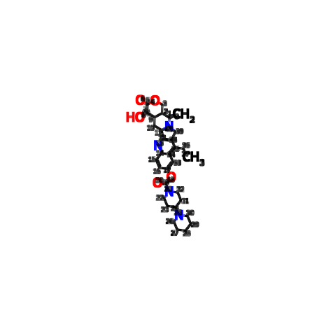 C=C1C2COC(=O)[C@@H](O)C2CC2c3nc4ccc(OC(=O)N5CCC(N6CCCCC6)CC5)cc4c(CC)c3CN12